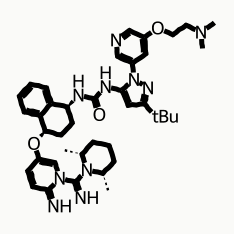 C[C@@H]1CCC[C@H](C)N1C(=N)n1cc(O[C@@H]2CC[C@H](NC(=O)Nc3cc(C(C)(C)C)nn3-c3cncc(OCCN(C)C)c3)c3ccccc32)ccc1=N